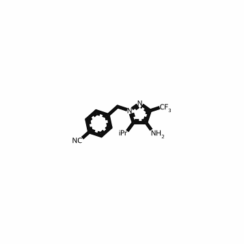 CC(C)c1c(N)c(C(F)(F)F)nn1Cc1ccc(C#N)cc1